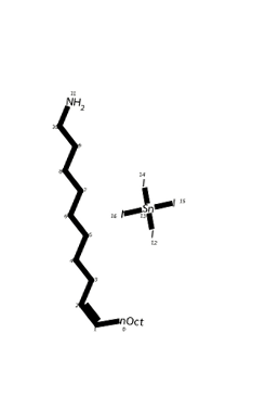 CCCCCCCC/C=C\CCCCCCCCN.[I][Sn]([I])([I])[I]